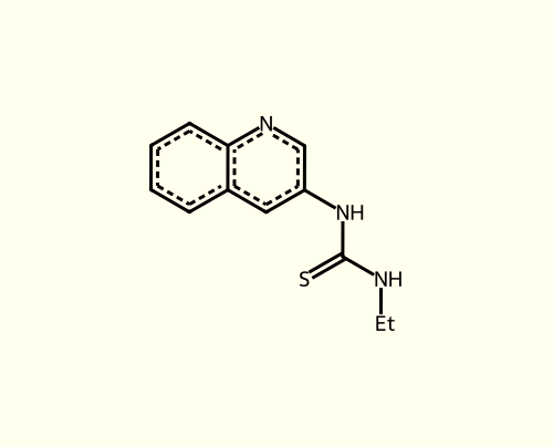 CCNC(=S)Nc1cnc2ccccc2c1